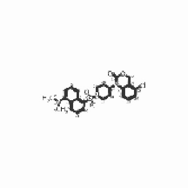 CN(C)c1cccc2c(S(=O)(=O)N3CCC(N4C(=O)OCc5c(Cl)cccc54)CC3)cccc12